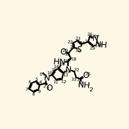 CN(C(=O)c1ccccc1)c1ccc2c(c1)N/C(=C\C(=O)c1ccc(-c3cn[nH]c3)s1)N2CCC(N)=O